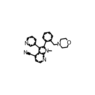 Cn1c(-c2ccccc2CN2CCOCC2)c(-c2cccnc2)c2c(C#N)ccnc21